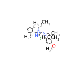 CCCCn1c(-c2c(C)cccc2C)nc(Cl)c1CN(Cc1ccc(OC)cc1)CC(C)(C)C